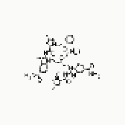 CCn1nc(C)cc1C(=O)N=c1n(C)c2cc(C(N)=O)ccc2n1CCC(CCn1c(=NC(=O)c2cc(C)nn2CC)n(C)c2cc(C(N)=O)ccc21)OCC(=O)N1CCC[C@H]1c1ccccc1